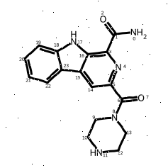 NC(=O)c1nc(C(=O)N2CCNCC2)cc2c1[nH]c1ccccc12